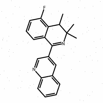 CC1c2c(F)cccc2C(c2cnc3ccccc3c2)=NC1(C)C